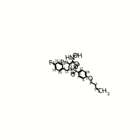 C=CCCOc1ccc(S(=O)(=O)N(Cc2ccc(F)cc2)C(C(=O)NO)C(C)C)cc1